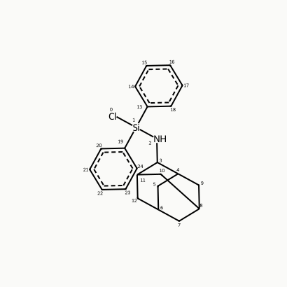 Cl[Si](NC1C2CC3CC(C2)CC1C3)(c1ccccc1)c1ccccc1